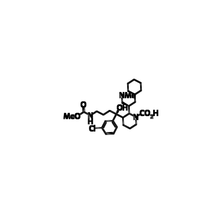 CNC[C@@H](CC1CCCCC1)C1C([C@@](O)(CCCNC(=O)OC)c2cccc(Cl)c2)CCCN1C(=O)O